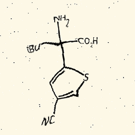 CC(C)(C)C(N)(C(=O)O)c1cc(C#N)cs1